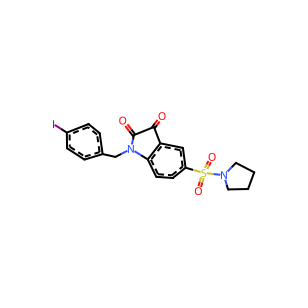 O=C1C(=O)N(Cc2ccc(I)cc2)c2ccc(S(=O)(=O)N3CCCC3)cc21